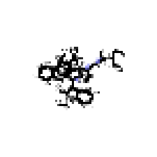 C=C/C(=C\C=C(/C)N(CC)CC)C1(/C=C(\C2=C(C)N(CC)c3ccccc3C2)c2c(C)n(CC)c3ccccc23)OC(=O)c2ccccc21